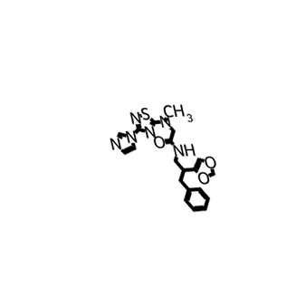 CN(CC(=O)NCC(Cc1ccccc1)C1=COCO1)c1nc(-n2ccnc2)ns1